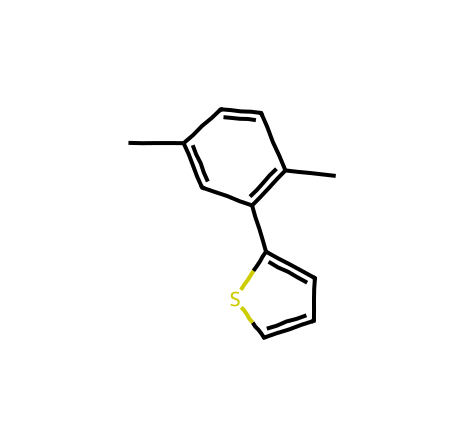 Cc1ccc(C)c(-c2cccs2)c1